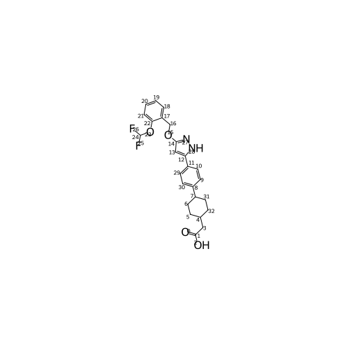 O=C(O)CC1CCC(c2ccc(-c3cc(OCc4ccccc4OC(F)F)n[nH]3)cc2)CC1